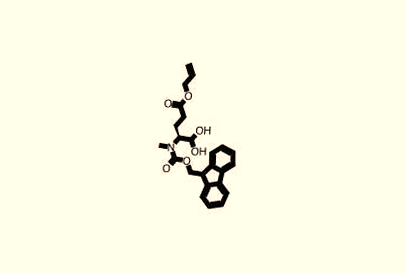 C=CCOC(=O)CC[C@@H](C(O)O)N(C)C(=O)OCC1c2ccccc2-c2ccccc21